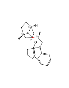 C[C@H](CN1[C@@H]2CC[C@H]1C[C@@H](OC1CCCC1)C2)Cn1ncc2ccccc21